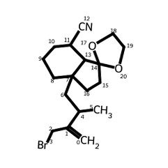 C=C(CBr)C(C)CC12CCCC(C#N)C1C1(CC2)OCCO1